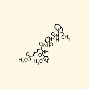 CCC1CC2CCCN(C2)C1NC(=O)Cn1cccc(NC(=O)C(CC/C=C/C(=O)OC)NC(=O)c2ccnn2C)c1=O